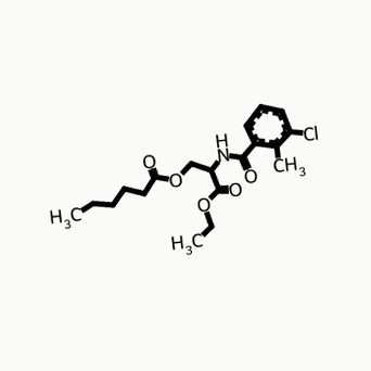 CCCCCC(=O)OCC(NC(=O)c1cccc(Cl)c1C)C(=O)OCC